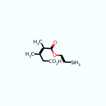 CC(CC(=O)O)=C(C)C(=O)OC=C[SiH3]